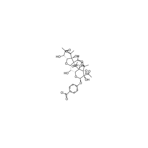 CC(=O)C(O)[C@H]1O[C@@H](C(O)[C@H]2O[C@H](Oc3ccc([N+](=O)[O-])cc3)[C@@](O)(C(C)=O)[C@](O)(C(C)=O)[C@@]2(O)C(C)=O)[C@](O)(C(C)=O)[C@@]1(O)C(C)=O